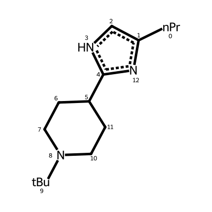 CCCc1c[nH]c(C2CCN(C(C)(C)C)CC2)n1